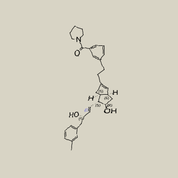 Cc1cccc(C[C@H](O)/C=C/[C@@H]2[C@H]3CC(CCc4cccc(C(=O)N5CCCCC5)c4)=C[C@H]3C[C@H]2O)c1